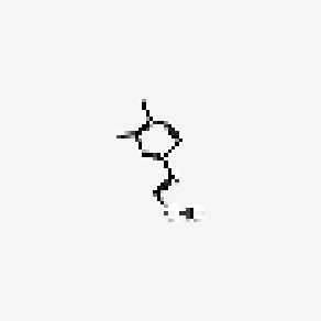 Cc1ccc(N=CC=O)cc1C